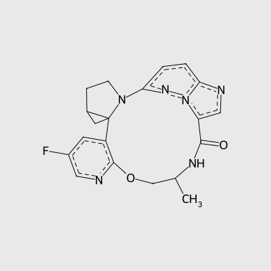 CC1COc2ncc(F)cc2C23CC2CCN3c2ccc3ncc(n3n2)C(=O)N1